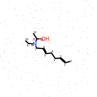 C/C=C/CC/C=C/CN(CC)C(C)O